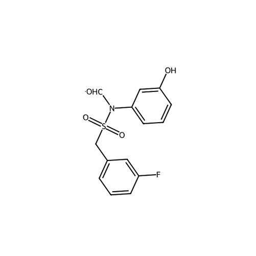 O=[C]N(c1cccc(O)c1)S(=O)(=O)Cc1cccc(F)c1